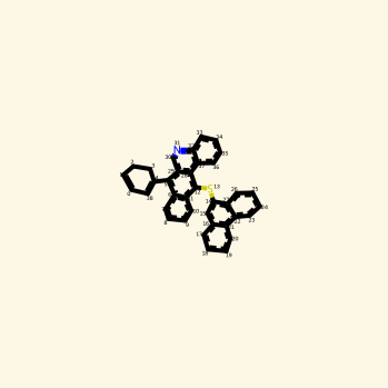 C1=CCCC(c2c3ccccc3c(Sc3cc4ccccc4c4ccccc34)c3c2cnc2ccccc23)=C1